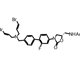 CC(=O)NC[C@H]1CN(c2ccc(-c3ccc(CN(CC=CBr)CC=CBr)cc3)c(F)c2)C(=O)O1